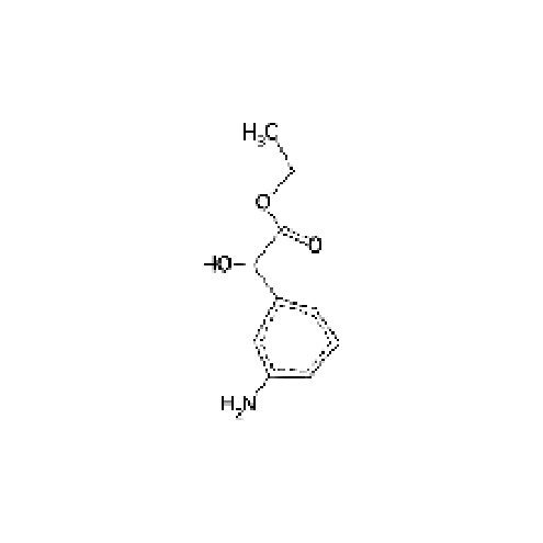 CCOC(=O)C(O)c1cccc(N)c1